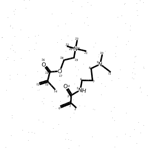 C=C(C)C(=O)NCCCN(C)C.C=C(C)C(=O)OCC[N+](C)(C)C